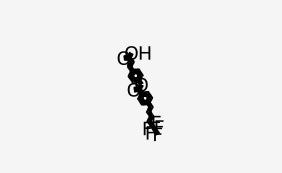 O=C(O)C=Cc1ccc(OC(=O)c2ccc(CCCCC(F)(F)C(F)(F)F)cc2)cc1